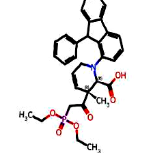 CCOP(=O)(CC(=O)[C@]1(C)C=CCN(c2cccc3c2C(c2ccccc2)c2ccccc2-3)[C@H]1C(=O)O)OCC